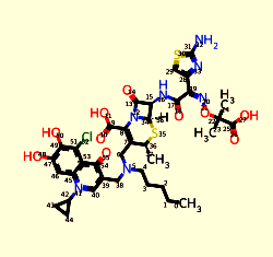 CCCCCN(CC1=C(C(=O)O)N2C(=O)[C@@H](NC(=O)/C(=N\OC(C)(C)C(=O)O)c3csc(N)n3)[C@H]2S[C@H]1C)Cc1cn(C2CC2)c2cc(O)c(O)c(Cl)c2c1=O